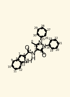 Cc1c(NC(=O)c2cc3ccccc3[nH]2)c(=O)n(-c2ccccc2)n1-c1ccccc1